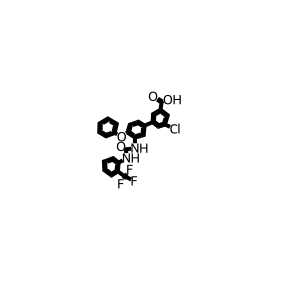 O=C(Nc1cc(-c2cc(Cl)cc(C(=O)O)c2)ccc1Oc1ccccc1)Nc1ccccc1C(F)(F)F